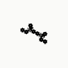 c1ccc(-c2cccc(-c3nc(-c4ccc(-c5ccc(-c6nc(-c7cccc(-c8ccccc8)c7)c7oc8ccccc8c7n6)cc5)cc4)c4oc5ccccc5c4n3)c2)cc1